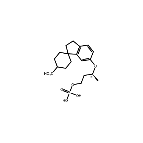 C[C@@H](CCOP(=O)(O)O)Oc1ccc2c(c1)C1(CC2)CCC(C(=O)O)CC1